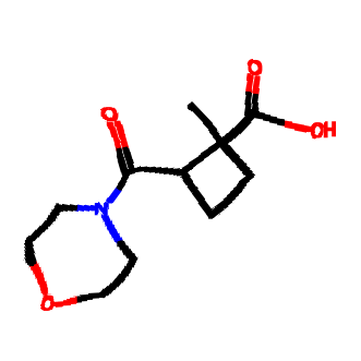 CC1(C(=O)O)CCC1C(=O)N1CCOCC1